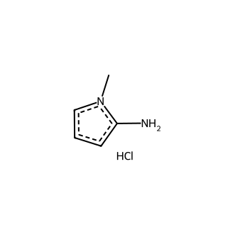 Cl.Cn1cccc1N